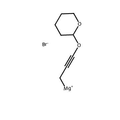 [Br-].[Mg+][CH2]C#COC1CCCCO1